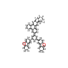 CC1(C)C=CC=C2C=c3cc4c5ccccc5c5cc(-c6cc(-c7ccc8oc9ccccc9c8c7)cc(-c7ccc8oc9ccccc9c8c7)c6)ccc5c4cc3=C21